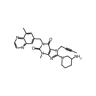 CC#CCn1c(N2CCCC(N)C2)nc2c1c(=O)n(Cc1cc(C)c3nccnc3c1)c(=O)n2C